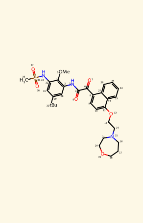 COc1c(NC(=O)C(=O)c2ccc(OCCN3CCCOCC3)c3ccccc23)cc(C(C)(C)C)cc1NS(C)(=O)=O